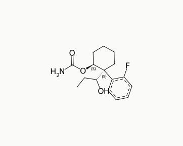 CCC(O)[C@@]1(c2ccccc2F)CCCC[C@@H]1OC(N)=O